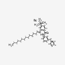 CCCCCCCCCCCCCCOc1cc(C(C)(C)C)ccc1C(=O)Nc1cccc(C[n+]2ccsc2)c1.[Br-]